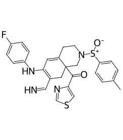 Cc1ccc([S+]([O-])N2CCC3=CC(Nc4ccc(F)cc4)=C(C=N)CC3(C(=O)c3cscn3)C2)cc1